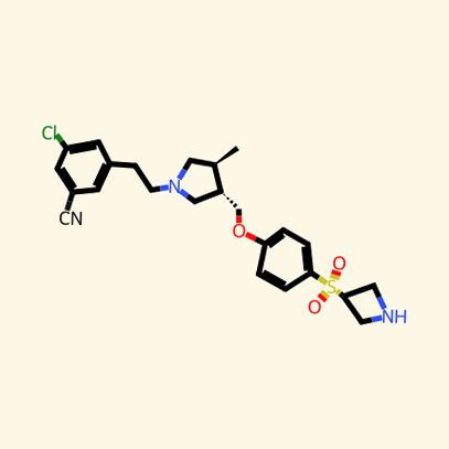 C[C@@H]1CN(CCc2cc(Cl)cc(C#N)c2)C[C@H]1COc1ccc(S(=O)(=O)C2CNC2)cc1